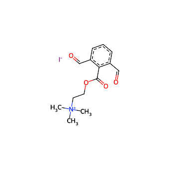 C[N+](C)(C)CCOC(=O)c1c(C=O)cccc1C=O.[I-]